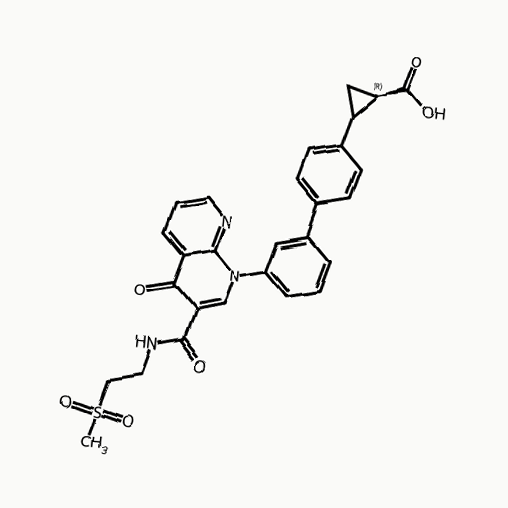 CS(=O)(=O)CCNC(=O)c1cn(-c2cccc(-c3ccc(C4C[C@H]4C(=O)O)cc3)c2)c2ncccc2c1=O